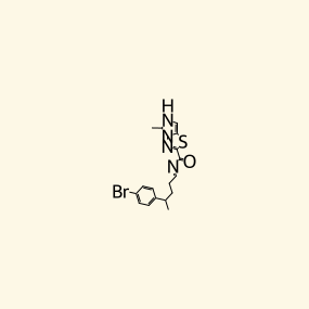 CC(CC/C=N/C(=O)C1=NN2C(=CNC2C)S1)c1ccc(Br)cc1